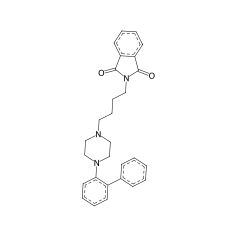 O=C1c2ccccc2C(=O)N1CCCCN1CCN(c2ccccc2-c2ccccc2)CC1